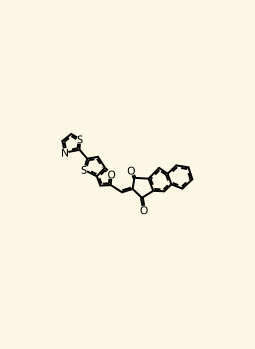 O=C1C(=Cc2cc3sc(-c4nccs4)cc3o2)C(=O)c2cc3ccccc3cc21